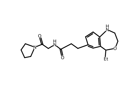 CCC1OCCNc2ccc(CCC(=O)NCC(=O)N3CCCC3)cc21